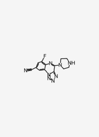 N#Cc1cc(F)c2nc(N3CCNCC3)c3nnnn3c2c1